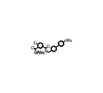 CCCCCCN(Cc1ccc(-c2ccc(CCCC)cc2)cc1)C(=O)c1ccc(F)c(C(=O)OC)c1